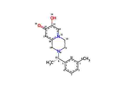 Cc1cccc([C@H](C)N2CCn3cc(O)c(=O)cc3C2)c1